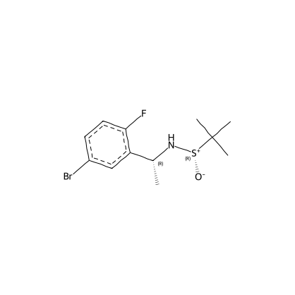 C[C@@H](N[S@@+]([O-])C(C)(C)C)c1cc(Br)ccc1F